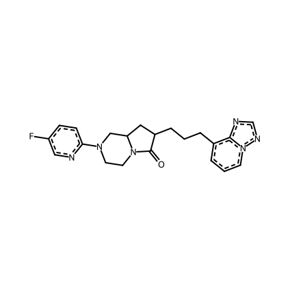 O=C1C(CCCc2cccn3ncnc23)CC2CN(c3ccc(F)cn3)CCN12